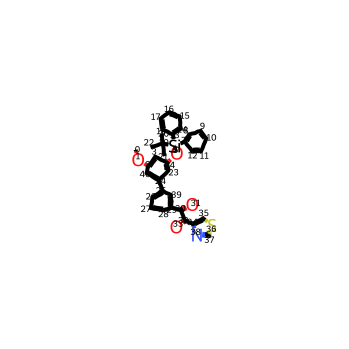 COc1cc(O[Si](c2ccccc2)(c2ccccc2)C(C)(C)C)cc(-c2cccc(C(=O)C(=O)c3cscn3)c2)c1